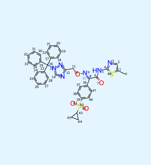 Cc1cnc(NC(=O)/C(=N/OCc2ncn(C(c3ccccc3)(c3ccccc3)c3ccccc3)n2)c2ccc(S(=O)(=O)C3CC3)cc2)s1